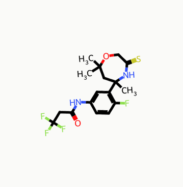 CC1(C)CC(C)(c2cc(NC(=O)CC(F)(F)F)ccc2F)NC(=S)CO1